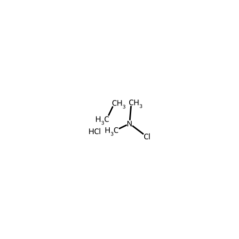 CC.CN(C)Cl.Cl